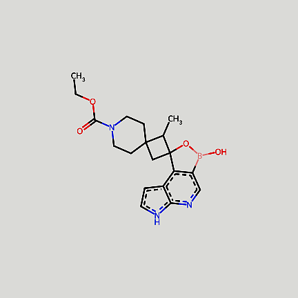 CCOC(=O)N1CCC2(CC1)CC1(OB(O)c3cnc4[nH]ccc4c31)C2C